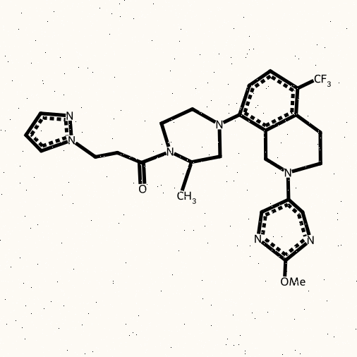 COc1ncc(N2CCc3c(C(F)(F)F)ccc(N4CCN(C(=O)CCn5cccn5)C(C)C4)c3C2)cn1